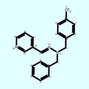 FC(F)(F)c1ccc(CN(Cc2ccccc2)/N=C/c2cccnc2)cc1